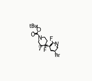 C[C@H]1CN(C(=O)OC(C)(C)C)CC[C@]1(F)c1cc(Br)cnc1F